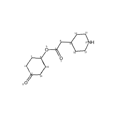 O=C1CCC(OC(=O)CC2CCNCC2)CC1